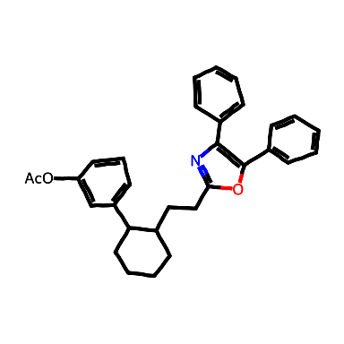 CC(=O)Oc1cccc(C2CCCCC2CCc2nc(-c3ccccc3)c(-c3ccccc3)o2)c1